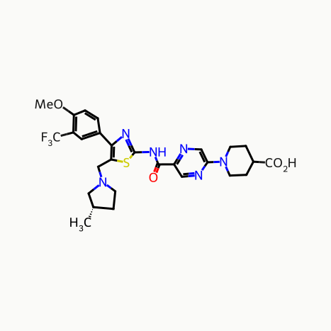 COc1ccc(-c2nc(NC(=O)c3cnc(N4CCC(C(=O)O)CC4)cn3)sc2CN2CC[C@H](C)C2)cc1C(F)(F)F